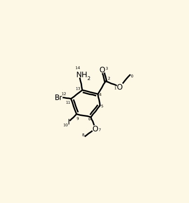 COC(=O)c1cc(OC)c(I)c(Br)c1N